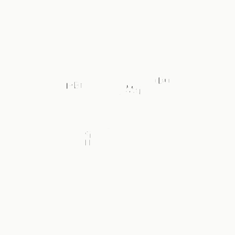 Br.C[SiH](C)O[CH2][Mg][C](C)(C)C